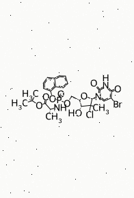 CC(C)OC(=O)[C@@H](C)NP(=O)(OC[C@H]1O[C@@H](n2cc(Br)c(=O)[nH]c2=O)[C@](C)(Cl)[C@@H]1O)Oc1cccc2ccccc12